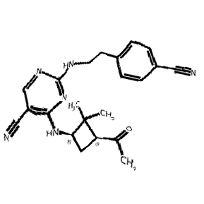 CC(=O)[C@H]1C[C@@H](Nc2nc(NCCc3ccc(C#N)cc3)ncc2C#N)C1(C)C